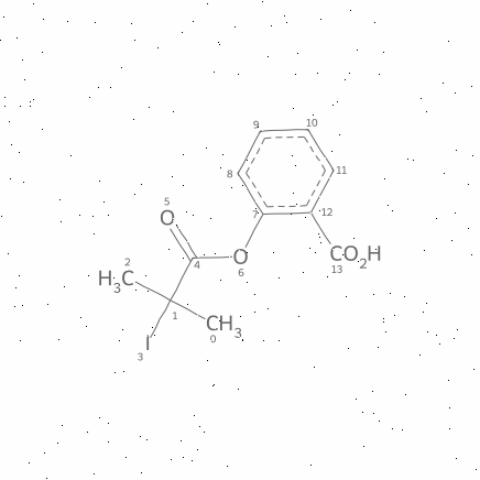 CC(C)(I)C(=O)Oc1ccccc1C(=O)O